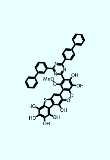 COOc1c(-c2nc(-c3ccc(-c4ccccc4)cc3)nc(-c3cccc(-c4ccccc4)c3)n2)c(O)c(O)c2c1-c1cc3sc4c(O)c(O)c(O)c(O)c4c3c(O)c1OO2